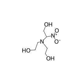 O=[N+]([O-])C(CO)N(CCO)CCO